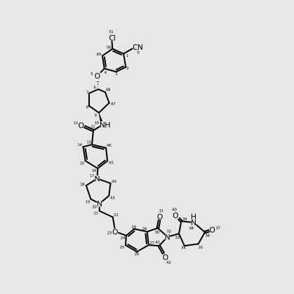 N#Cc1ccc(O[C@H]2CC[C@H](NC(=O)c3ccc(N4CCN(CCOc5ccc6c(c5)C(=O)N(C5CCC(=O)NC5=O)C6=O)CC4)cc3)CC2)cc1Cl